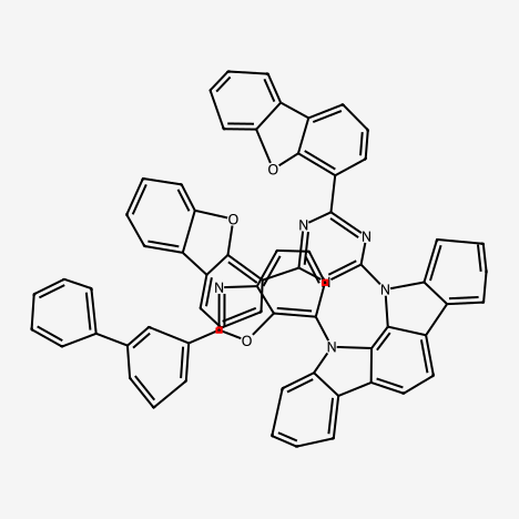 c1ccc(-c2cccc(-c3nc4cccc(-n5c6ccccc6c6ccc7c8ccccc8n(-c8nc(-c9cccc%10c9oc9ccccc9%10)nc(-c9cccc%10c9oc9ccccc9%10)n8)c7c65)c4o3)c2)cc1